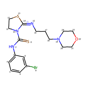 S=C(Nc1cccc(Br)c1)N1CCS/C1=N/CCCN1CCOCC1